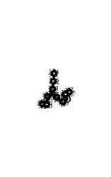 c1ccc(-c2ccc(-c3ccc(N(c4ccc(-c5cccc6oc7c8ccccc8ccc7c56)cc4)c4cccc(-c5cccc6ccccc56)c4)cc3)cc2)cc1